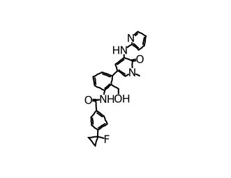 Cn1cc(-c2cccc(NC(=O)c3ccc(C4(F)CC4)cc3)c2CO)cc(Nc2ccccn2)c1=O